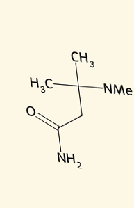 CNC(C)(C)CC(N)=O